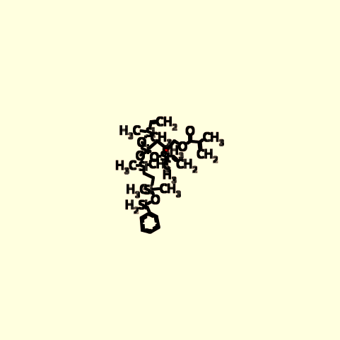 C=C[Si](C)(C)O[Si](CCCOC(=O)C(=C)C)(O[Si](C)(C)C=C)O[Si](C)(C)CC[Si](C)(C)O[SiH2]c1ccccc1